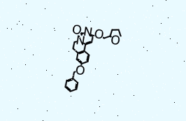 O=c1nc(OCC2CCCO2)cc2n1CCc1cc(OCc3ccccc3)ccc1-2